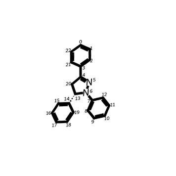 c1ccc(C2=NN(c3ccccc3)[C@H](c3ccccc3)C2)cc1